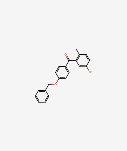 Cc1ccc(Br)cc1C(=O)c1ccc(OCc2ccccc2)cc1